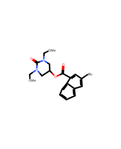 CCC(C)c1cc(C(=O)OC2CN(COC)C(=O)N(COC)C2)c2ccccc2c1